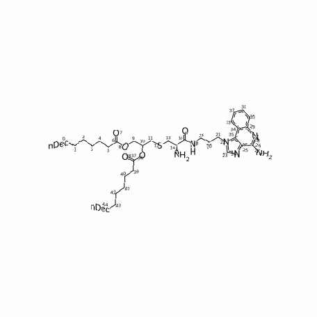 CCCCCCCCCCCCCCCC(=O)OCC(CSC[C@H](N)C(=O)NCCCn1cnc2c(N)nc3ccccc3c21)OC(=O)CCCCCCCCCCCCCCC